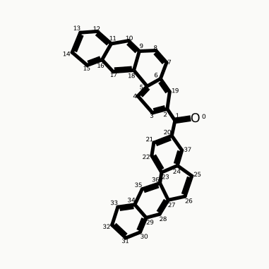 O=C(c1ccc2c(ccc3cc4ccccc4cc32)c1)c1ccc2c(ccc3cc4ccccc4cc32)c1